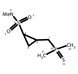 CNS(=O)(=O)C1CC1CP(C)(C)=S